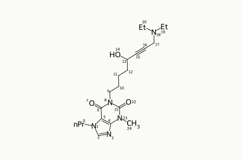 CCCn1cnc2c1c(=O)n(CCCCC(O)C#CCN(CC)CC)c(=O)n2C